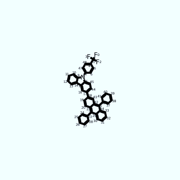 FC(F)(F)c1ccc(-n2c3ccccc3c3cc(-c4ccc5c(-c6ccccc6)c6ccccc6c(-c6ccccc6)c5c4)ccc32)cc1